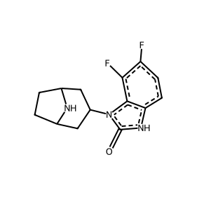 O=c1[nH]c2ccc(F)c(F)c2n1C1CC2CCC(C1)N2